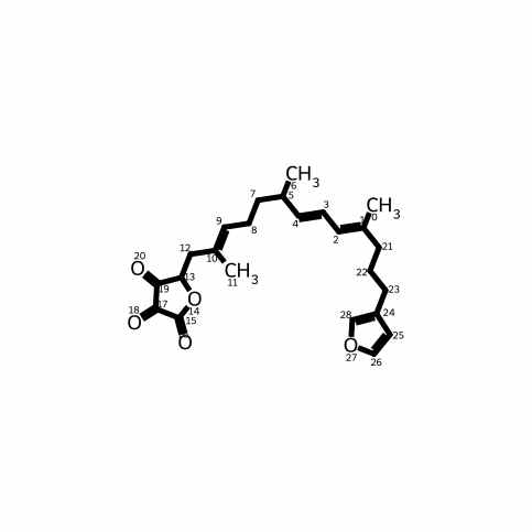 C/C(=C\C=C\C(C)CC/C=C(\C)CC1OC(=O)C(=O)C1=O)CCCc1ccoc1